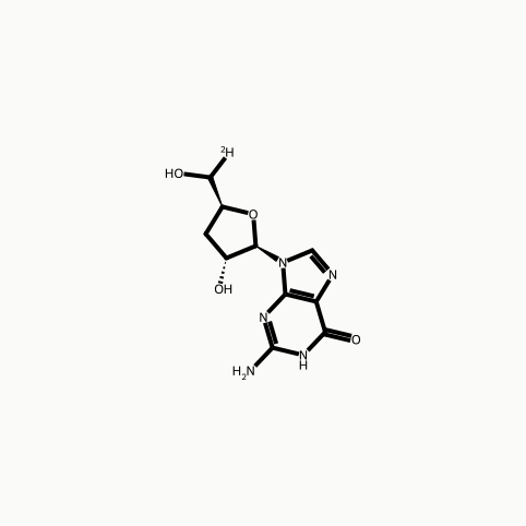 [2H]C(O)[C@@H]1C[C@@H](O)[C@H](n2cnc3c(=O)[nH]c(N)nc32)O1